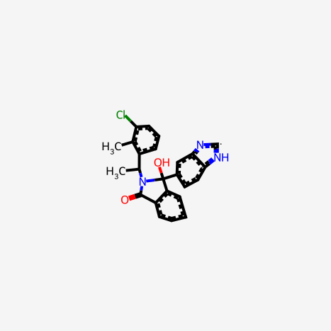 Cc1c(Cl)cccc1C(C)N1C(=O)c2ccccc2C1(O)c1ccc2[nH][c]nc2c1